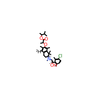 [2H]c1c(C)c(OC(C)C(=O)OC(C)C(C)C)c(C)c2c1CC[C@](C)(N(C)C[C@](C)(O)c1c(C)ccc(Cl)c1C)C2(C)C